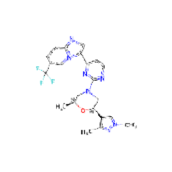 Cc1nn(C)cc1[C@@H]1CN(c2nccc(-c3cnc4ccc(C(F)(F)F)cn34)n2)C[C@H](C)O1